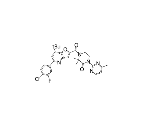 Cc1ccnc(N2CCN(C(=O)c3cc4nc(-c5ccc(Cl)c(F)c5)cc(C(C)(C)C)c4o3)C(C)(C)C2=O)n1